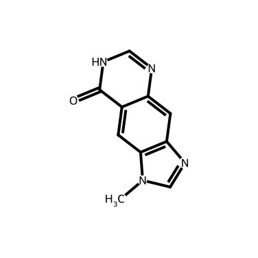 Cn1cnc2cc3nc[nH]c(=O)c3cc21